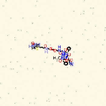 CC(=O)N[C@@H](Cc1ccccc1)C(=O)N[C@@H](CCC(=O)C=[N+]=[N-])C(=O)N[C@@H](Cc1ccccc1)C(=O)NCC(=O)NCCOCCOCCNC(=O)CCCC[C@@H]1SC[C@@H]2NC(=O)N[C@@H]21